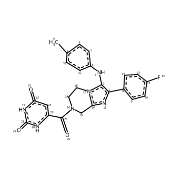 Cc1ccc(Nc2c(-c3ccc(F)cc3)nc3n2CCN(C(=O)c2cc(=O)[nH]c(=O)[nH]2)C3)cc1